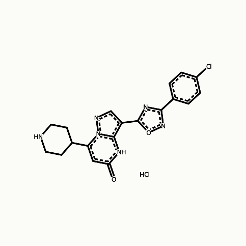 Cl.O=c1cc(C2CCNCC2)n2ncc(-c3nc(-c4ccc(Cl)cc4)no3)c2[nH]1